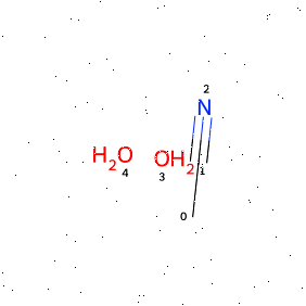 CC#N.O.O